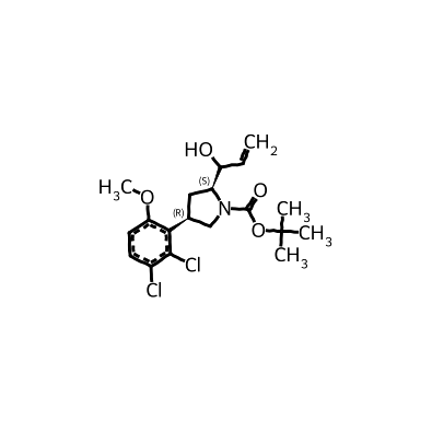 C=CC(O)[C@@H]1C[C@H](c2c(OC)ccc(Cl)c2Cl)CN1C(=O)OC(C)(C)C